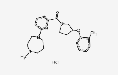 Cc1ccccc1OC1CCN(C(=O)c2cccc(N3CCCN(C)CC3)n2)C1.Cl